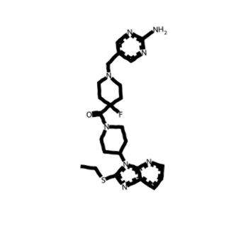 CCSc1nc2cccnc2n1C1CCN(C(=O)C2(F)CCN(Cc3cnc(N)nc3)CC2)CC1